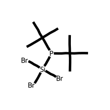 CC(C)(C)P(C(C)(C)C)[Si](Br)(Br)Br